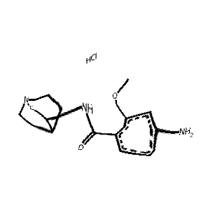 COc1cc(N)ccc1C(=O)NC1CN2CCC1CC2.Cl